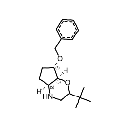 CC(C)(C)C1CN[C@H]2CC[C@H](OCc3ccccc3)[C@H]2O1